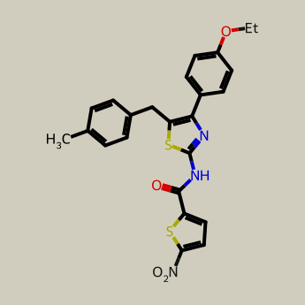 CCOc1ccc(-c2nc(NC(=O)c3ccc([N+](=O)[O-])s3)sc2Cc2ccc(C)cc2)cc1